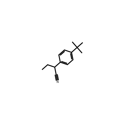 CCC(C#N)c1ccc(C(C)(C)C)cc1